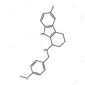 COc1ccc(CNC2CCCc3c2[nH]c2ccc(C)cc32)cc1